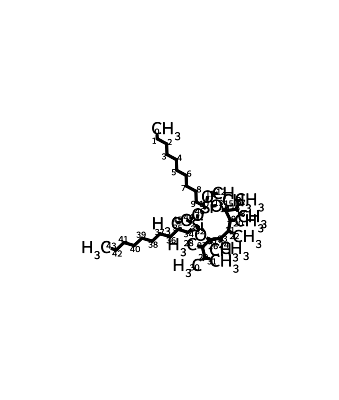 CCCCCCCCCC[Si]1(OC)OC(C)(C(C)C)C(C)C(C)C(C)C(C)(C(C)C(C)C)O[Si](CCCCCCCCCC)(OC)O1